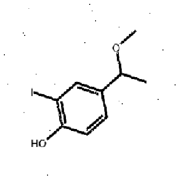 COC(C)c1ccc(O)c(I)c1